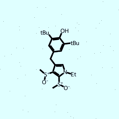 CCn1cc(Cc2cc(C(C)(C)C)c(O)c(C(C)(C)C)c2)c([S+](C)[O-])c1[S+](C)[O-]